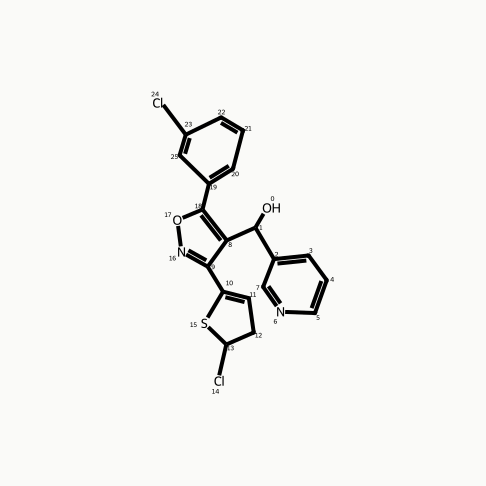 OC(c1cccnc1)c1c(C2=CCC(Cl)S2)noc1-c1cccc(Cl)c1